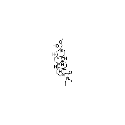 CCN(CC)C(=O)[C@H]1CCC[C@H]2[C@@H]3CC[C@H]4C[C@@](O)(COC)CC[C@@H]4[C@H]3CC[C@]12C